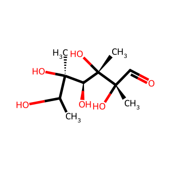 CC(O)[C@@](C)(O)[C@H](O)[C@](C)(O)[C@@](C)(O)C=O